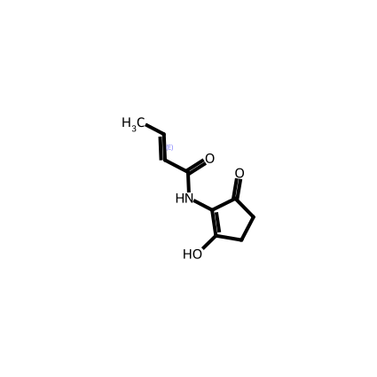 C/C=C/C(=O)NC1=C(O)CCC1=O